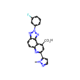 Cn1nccc1-c1cc(C(=O)O)c2c(ccc3nn(-c4cccc(F)c4)nc32)n1